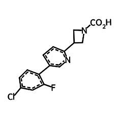 O=C(O)N1CC(c2ccc(-c3ccc(Cl)cc3F)cn2)C1